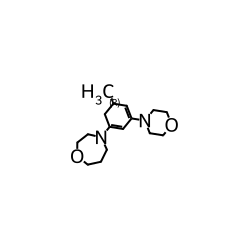 C[C@H]1C=C(N2CCOCC2)C=C(N2CCCOCC2)C1